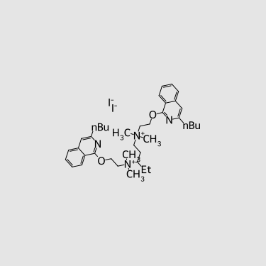 CCCCc1cc2ccccc2c(OCC[N+](C)(C)CCC(CC)[N+](C)(C)CCOc2nc(CCCC)cc3ccccc23)n1.[I-].[I-]